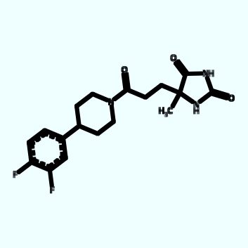 CC1(CCC(=O)N2CCC(c3ccc(F)c(F)c3)CC2)NC(=O)NC1=O